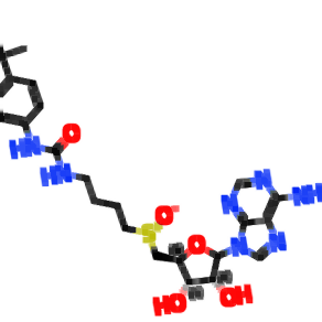 CC(C)(C)c1ccc(NC(=O)NCCCC[S+]([O-])C[C@H]2OC(n3cnc4c(N)ncnc43)[C@H](O)[C@@H]2O)cc1